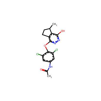 CC(=O)Nc1cc(Cl)c(Oc2nnc(O)c3c2CCC3C)c(Cl)c1